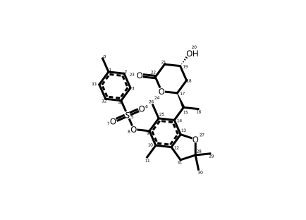 Cc1ccc(S(=O)(=O)Oc2c(C)c3c(c(C(C)[C@@H]4C[C@@H](O)CC(=O)O4)c2C)OC(C)(C)C3)cc1